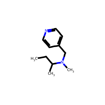 CCC(C)N(C)Cc1ccncc1